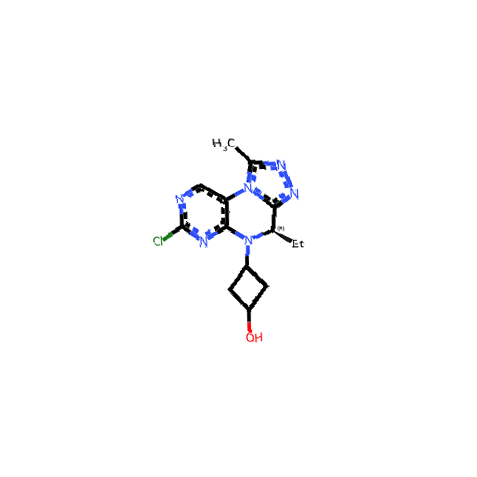 CC[C@@H]1c2nnc(C)n2-c2cnc(Cl)nc2N1C1CC(O)C1